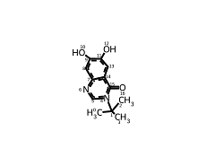 CC(C)(C)n1cnc2cc(O)c(O)cc2c1=O